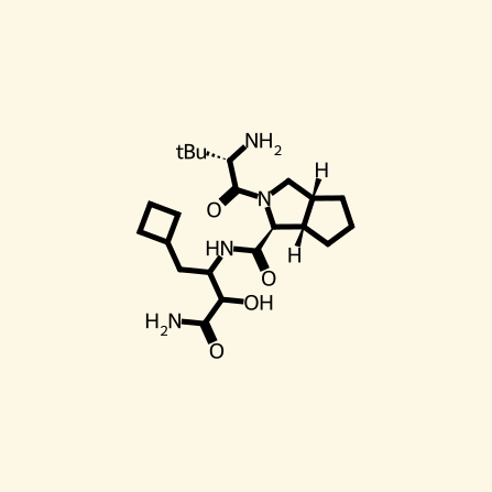 CC(C)(C)[C@H](N)C(=O)N1C[C@@H]2CCC[C@@H]2[C@H]1C(=O)NC(CC1CCC1)C(O)C(N)=O